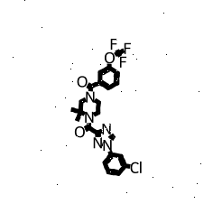 CC1(C)CN(C(=O)c2cccc(OC(F)(F)F)c2)CCN1C(=O)c1ncn(-c2cccc(Cl)c2)n1